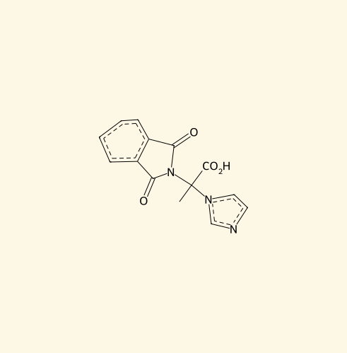 CC(C(=O)O)(N1C(=O)c2ccccc2C1=O)n1ccnc1